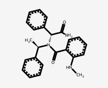 CNc1ccccc1C(=O)N([C@H](C)c1ccccc1)[C@@H](C(N)=O)c1ccccc1